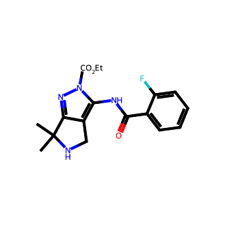 CCOC(=O)n1nc2c(c1NC(=O)c1ccccc1F)CNC2(C)C